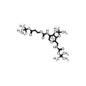 CC(C)(C)OC(=O)CCOC(=O)NC12COC(CNC(=O)OC(C)(C)C)(CO1)C1OC(C)(C)OC12